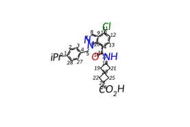 CC(C)c1ccc(Cn2ncc3c(Cl)ccc(C(=O)NC4CC5(C4)CC(C(=O)O)C5)c32)cc1